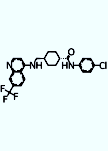 O=C(Nc1ccc(Cl)cc1)[C@H]1CC[C@H](CNc2ccnc3cc(C(F)(F)F)ccc23)CC1